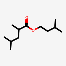 CC(C)CCOC(=O)C(C)CC(C)C